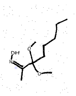 CCCCCC(OC)(OC)/C(C)=N\O